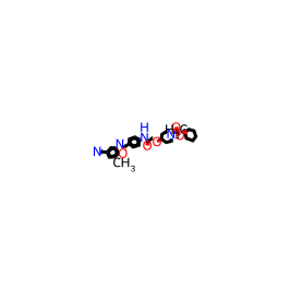 Cc1cc(C#N)cc2nc(-c3ccc(NC(=O)COC4CCN(C(=O)OC5(C)CCCCC5)CC4)cc3)oc12